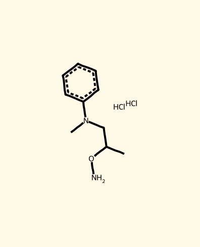 CC(CN(C)c1ccccc1)ON.Cl.Cl